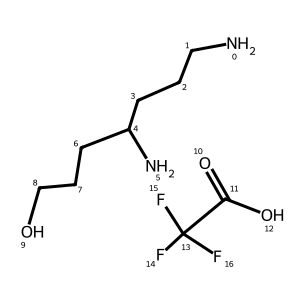 NCCCC(N)CCCO.O=C(O)C(F)(F)F